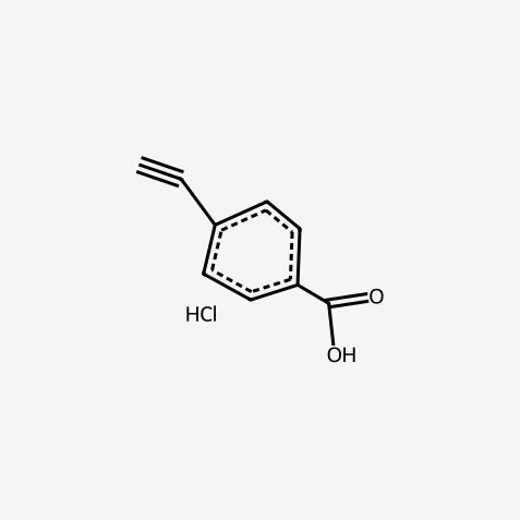 C#Cc1ccc(C(=O)O)cc1.Cl